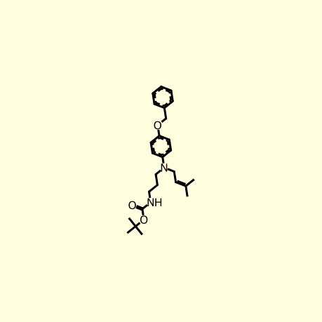 CC(C)=CCN(CCCNC(=O)OC(C)(C)C)c1ccc(OCc2ccccc2)cc1